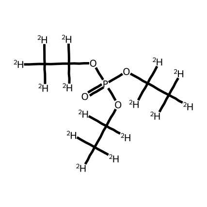 [2H]C([2H])([2H])C([2H])([2H])OP(=O)(OC([2H])([2H])C([2H])([2H])[2H])OC([2H])([2H])C([2H])([2H])[2H]